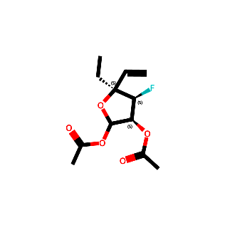 C=C[C@]1(CC)OC(OC(C)=O)[C@H](OC(C)=O)[C@@H]1F